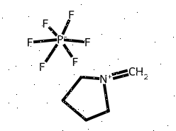 C=[N+]1CCCC1.F[P-](F)(F)(F)(F)F